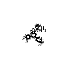 C[C@@H](CO)NC(=O)c1cc(-c2ccc(C(F)(F)F)nc2)nn(-c2ccc(F)c(F)c2)c1=O